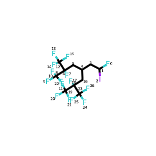 FC(I)CC(CC(F)(C(F)(F)F)C(F)(F)F)CC(F)(C(F)(F)F)C(F)(F)F